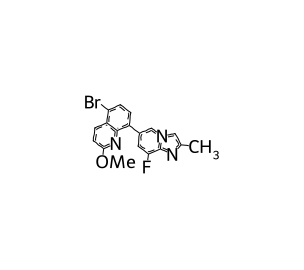 COc1ccc2c(Br)ccc(-c3cc(F)c4nc(C)cn4c3)c2n1